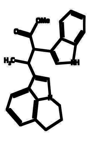 COC(=O)C(c1c[nH]c2ccccc12)C(C)c1cn2c3c(cccc13)CCC2